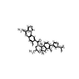 C[C@H]1CN(C(=O)c2cc3c(cc2F)nc(N)c2cncn23)[C@H]2c3ccc(-c4cnn(C(F)F)c4)c(F)c3C[C@H]2O1